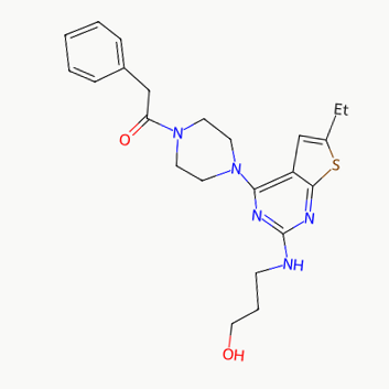 CCc1cc2c(N3CCN(C(=O)Cc4ccccc4)CC3)nc(NCCCO)nc2s1